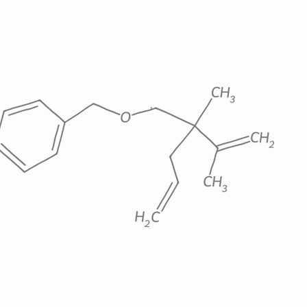 C=CCC(C)([CH]OCc1ccccc1)C(=C)C